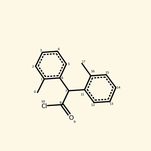 Cc1ccccc1C(C(=O)Cl)c1ccccc1C